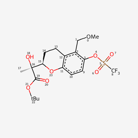 COCc1c(OS(=O)(=O)C(F)(F)F)ccc2c1CC[C@H]([C@](C)(O)C(=O)OC(C)(C)C)O2